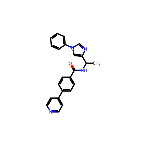 CC(NC(=O)c1ccc(-c2ccncc2)cc1)c1cn(-c2ccccc2)cn1